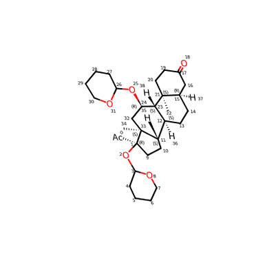 CC(=O)[C@@]1(OC2CCCCO2)CC[C@H]2[C@@H]3CC[C@@H]4CC(=O)CC[C@]4(C)[C@H]3[C@H](OC3CCCCO3)C[C@@]21C